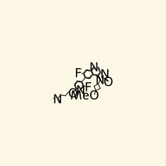 COC1CC(n2c(=O)n(C)c3cnc4cc(F)c(-c5ccc(OCCCN(C)C)nc5F)cc4c32)C1